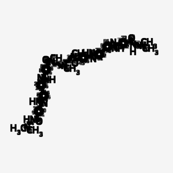 CN(C)CCNC(=O)c1ccc(-c2nc3ccc(-c4ccc5nc(-c6ccc(C(=O)N(C)CCCN(C)CCCN(C)C(=O)c7ccc(-c8nc9ccc(-c%10ccc%11nc(-c%12ccc(C(=O)NCCN(C)C)cc%12)[nH]c%11c%10)cc9[nH]8)cc7)cc6)[nH]c5c4)cc3[nH]2)cc1